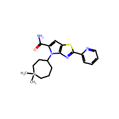 C[Si]1(C)CCCC(n2c(C(N)=O)cc3sc(-c4ccccn4)nc32)CC1